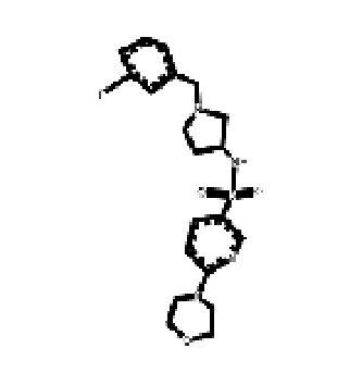 O=S(=O)(N[C@H]1CCN(Cc2cccc(F)c2)C1)c1ccc(N2CCOCC2)nc1